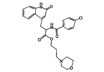 O=C(NC(Cc1cc(=O)[nH]c2ccccc12)C(=O)OCCCN1CCOCC1)c1ccc(Cl)cc1